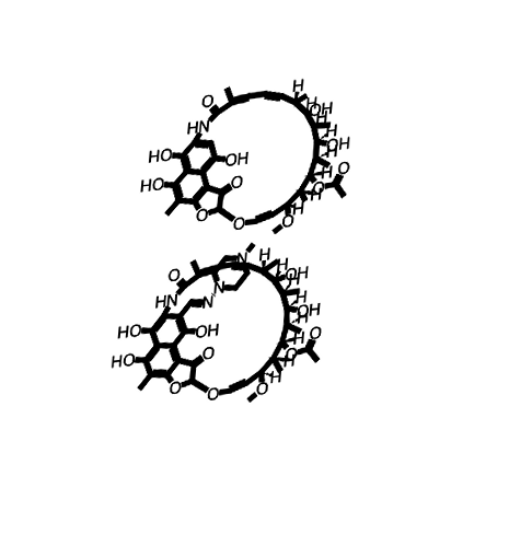 CO[C@H]1/C=C\O[C@@]2(C)Oc3c(C)c(O)c4c(O)c(c(/C=N/N5CCN(C)CC5)c(O)c4c3C2=O)NC(=O)/C(C)=C\C=C/[C@H](C)[C@H](O)[C@@H](C)[C@@H](O)[C@@H](C)[C@H](OC(C)=O)[C@@H]1C.CO[C@H]1/C=C\O[C@@]2(C)Oc3c(C)c(O)c4c(O)c(cc(O)c4c3C2=O)NC(=O)/C(C)=C\C=C/[C@H](C)[C@H](O)[C@@H](C)[C@@H](O)[C@@H](C)[C@H](OC(C)=O)[C@@H]1C